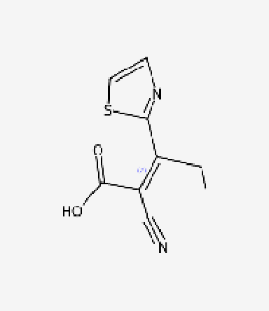 CC/C(=C(\C#N)C(=O)O)c1nccs1